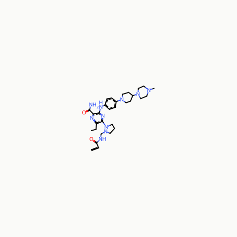 C=CC(=O)NCN1CCCN1c1nc(Nc2ccc(N3CCC(N4CCN(C)CC4)CC3)cc2)c(C(N)=O)nc1CC